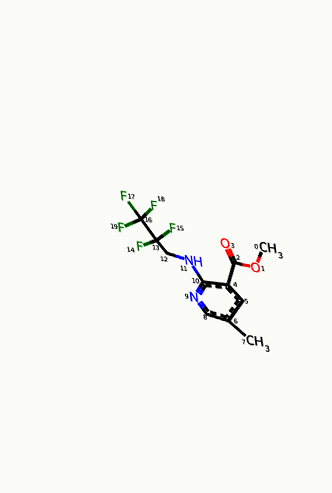 COC(=O)c1cc(C)cnc1NCC(F)(F)C(F)(F)F